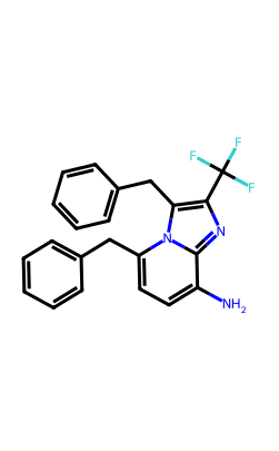 Nc1ccc(Cc2ccccc2)n2c(Cc3ccccc3)c(C(F)(F)F)nc12